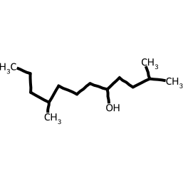 CCCC(C)CCCC(O)CCC(C)C